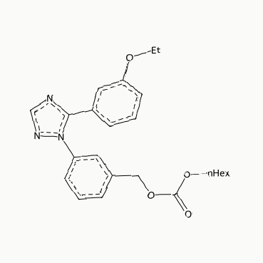 CCCCCCOC(=O)OCc1cccc(-n2ncnc2-c2cccc(OCC)c2)c1